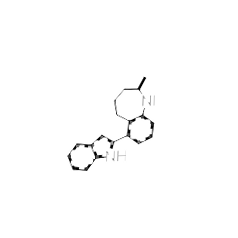 C=C1CCCc2c(cccc2-c2cc3ccccc3[nH]2)N1